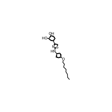 CCCCCCCCOc1ccc(Nc2nc(-c3ccc(O)c(O)c3)cs2)cc1